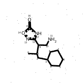 CC(CC1CCCCC1)C(CN)c1noc(=O)[nH]1